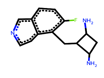 NC1CC(N)C1Cc1c(F)ccc2cnccc12